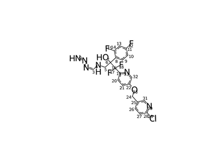 N=N/N=C\NCC(O)(c1ccc(F)cc1F)C(F)(F)c1ccc(OCc2ccc(Cl)nc2)cn1